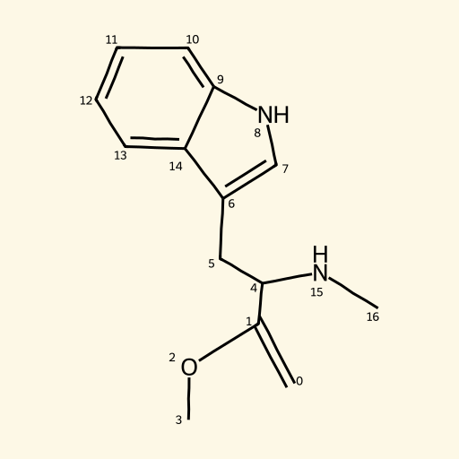 C=C(OC)C(Cc1c[nH]c2ccccc12)NC